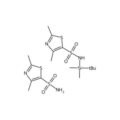 Cc1nc(C)c(S(=O)(=O)N[Si](C)(C)C(C)(C)C)s1.Cc1nc(C)c(S(N)(=O)=O)s1